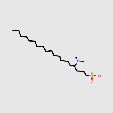 CCCCCCCCCCCCCCCC(CCCS(=O)(=O)O)N(C)C